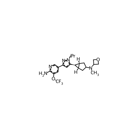 CC(C)n1nc(-c2cnc(N)c(OC(F)(F)F)c2)cc1[C@H]1[C@@H]2CC(N(C)C3COC3)C[C@@H]21